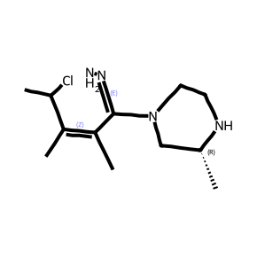 CC(=C(\C)C(C)Cl)/C(=N\N)N1CCN[C@H](C)C1